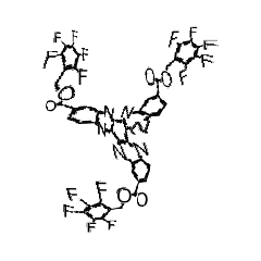 O=C(OCc1c(F)c(F)c(F)c(F)c1F)c1ccc2nc3c4nc5ccc(C(=O)OCc6c(F)c(F)c(F)c(F)c6F)cc5nc4c4nc5cc(C(=O)OCc6c(F)c(F)c(F)c(F)c6F)ccc5nc4c3nc2c1